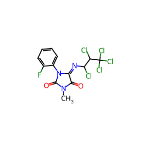 CN1C(=O)C(=NC(Cl)C(Cl)C(Cl)(Cl)Cl)N(c2ccccc2F)C1=O